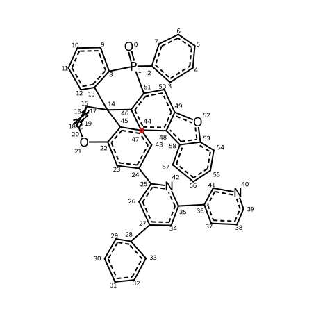 O=P1(c2ccccc2)c2ccccc2C2(c3ccccc3Oc3cc(-c4cc(-c5ccccc5)cc(-c5cccnc5)n4)ccc32)c2cc3c(cc21)oc1ccccc13